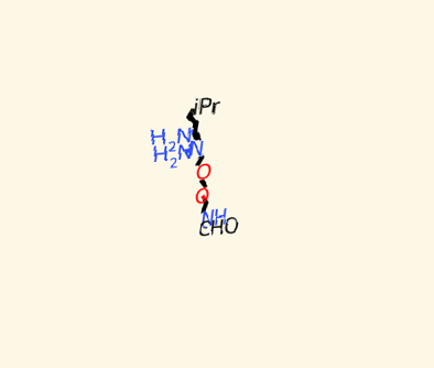 CC(C)CC/C(N)=C/N(N)CCOCCOCCNC=O